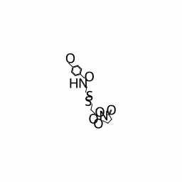 O=Cc1ccc(C(=O)NCCSSCCC(=O)ON2C(=O)CCC2=O)cc1